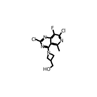 Cc1nc(Cl)c(F)c2nc(Cl)nc(N3CC(CO)C3)c12